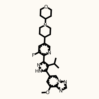 COc1cc(-c2[nH]nc(-c3ncc(C4CCN(C5CCOCC5)CC4)cc3F)c2C(C)C)cn2ncnc12